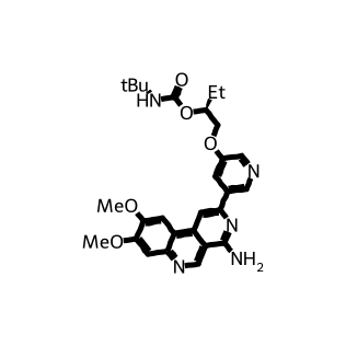 CC[C@@H](COc1cncc(-c2cc3c(cnc4cc(OC)c(OC)cc43)c(N)n2)c1)OC(=O)NC(C)(C)C